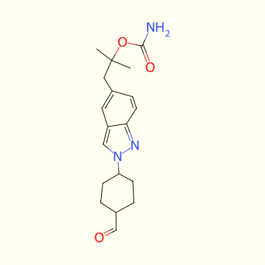 CC(C)(Cc1ccc2nn(C3CCC(C=O)CC3)cc2c1)OC(N)=O